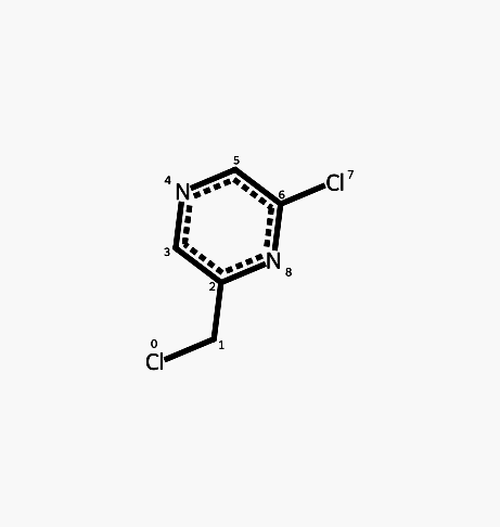 ClCc1cncc(Cl)n1